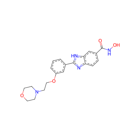 O=C(NO)c1ccc2nc(-c3cccc(OCCN4CCOCC4)c3)[nH]c2c1